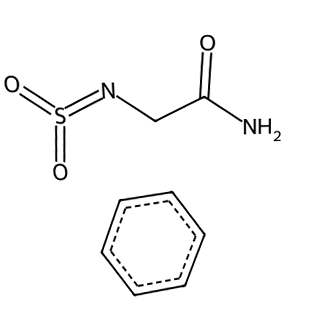 NC(=O)CN=S(=O)=O.c1ccccc1